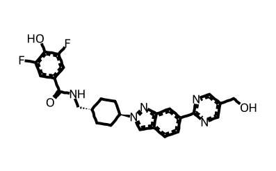 O=C(NC[C@H]1CC[C@H](n2cc3ccc(-c4ncc(CO)cn4)cc3n2)CC1)c1cc(F)c(O)c(F)c1